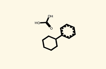 O=C(O)O.c1ccc(C2CCCCC2)cc1